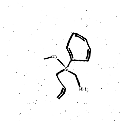 C=CC[Si](CN)(OC)c1ccccc1